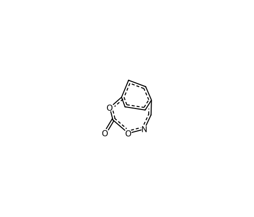 O=c1oncc2ccc(cc2)o1